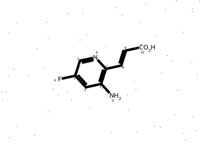 Nc1cc(F)cnc1C=CC(=O)O